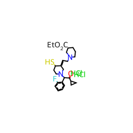 CCOC(=O)C1CCCN(C/C=C2\CN(C(C(=O)C3CC3)c3ccccc3F)CCC2S)C1.Cl.Cl